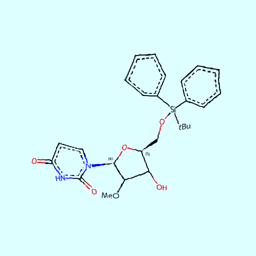 COC1C(O)[C@H](CO[Si](c2ccccc2)(c2ccccc2)C(C)(C)C)O[C@@H]1n1ccc(=O)[nH]c1=O